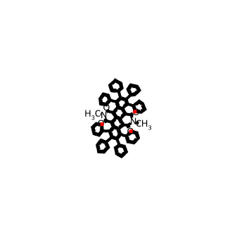 CN1C(=O)c2c3c(-c4ccccc4)c(-c4ccccc4)c(-c4ccccc4)c(-c4ccccc4)c3c3c4c(c5c(-c6ccccc6)c(-c6ccccc6)c(-c6ccccc6)c(-c6ccccc6)c5c(c24)C1=O)C(=O)N(C)C3=O